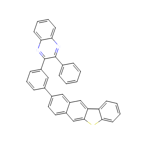 c1ccc(-c2nc3ccccc3nc2-c2cccc(-c3ccc4cc5sc6ccccc6c5cc4c3)c2)cc1